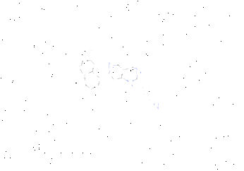 Cc1c(F)ccc2cccc(-c3ncc4cnc(OC[C@@]56CCCN5C[C@H](F)C6)nc4c3F)c12